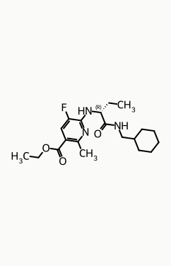 CCOC(=O)c1cc(F)c(N[C@H](CC)C(=O)NCC2CCCCC2)nc1C